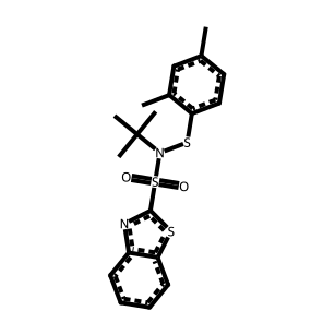 Cc1ccc(SN(C(C)(C)C)S(=O)(=O)c2nc3ccccc3s2)c(C)c1